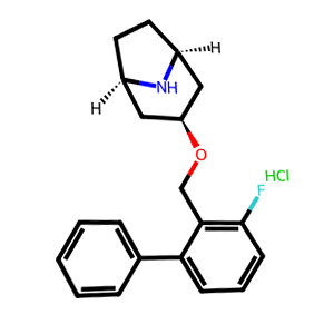 Cl.Fc1cccc(-c2ccccc2)c1CO[C@H]1C[C@H]2CC[C@@H](C1)N2